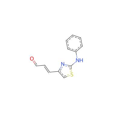 O=CC=Cc1csc(Nc2ccccc2)n1